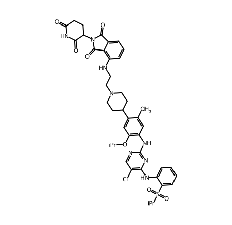 Cc1cc(Nc2ncc(Cl)c(Nc3ccccc3S(=O)(=O)C(C)C)n2)c(OC(C)C)cc1C1CCN(CCNc2cccc3c2C(=O)N(C2CCC(=O)NC2=O)C3=O)CC1